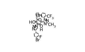 Cc1nc([C@@H]2O[C@H](CO)[C@H](O)[C@H](n3cc(-c4ccc(Br)c(F)c4)nn3)[C@H]2O)n(-c2cc(Cl)ccc2C(F)(F)F)n1